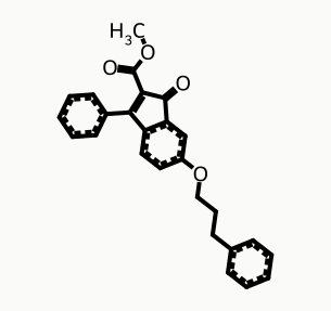 COC(=O)C1=C(c2ccccc2)c2ccc(OCCCc3ccccc3)cc2C1=O